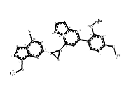 CC(C)(C)Oc1ncc(-c2cc([C@H]3C[C@@H]3c3cc(F)c4cnn(CC(F)(F)F)c4c3)n3nccc3n2)c(OC(C)(C)C)n1